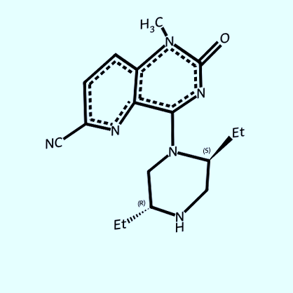 CC[C@@H]1CN(c2nc(=O)n(C)c3ccc(C#N)nc23)[C@@H](CC)CN1